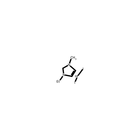 CCN1C=CN(C)C1.I[IH]I